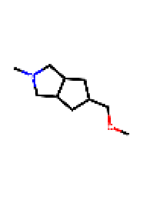 COCC1CC2CN(C)CC2C1